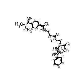 CN(C)C(=N)c1ccc(C(=O)NCCC(=O)NC[C@H](NS(=O)(=O)c2ccccc2)C(=O)O)cc1